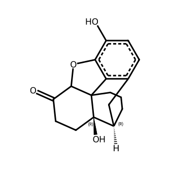 O=C1CC[C@@]2(O)[C@@H]3CCCC24c2c(ccc(O)c2OC14)C3